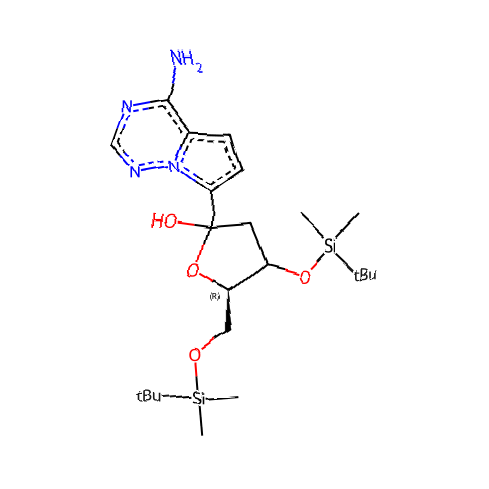 CC(C)(C)[Si](C)(C)OC[C@H]1OC(O)(c2ccc3c(N)ncnn23)CC1O[Si](C)(C)C(C)(C)C